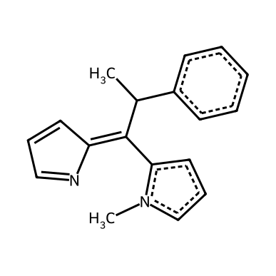 CC(/C(=C1\C=CC=N1)c1cccn1C)c1ccccc1